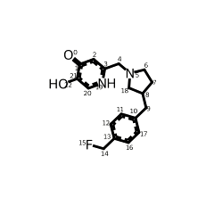 O=c1cc(CN2CCC(Cc3ccc(CF)cc3)C2)[nH]cc1O